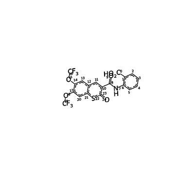 O=C(O)c1ccccc1NC(=O)c1cc2cc(OC(F)(F)F)c(OC(F)(F)F)cc2sc1=O